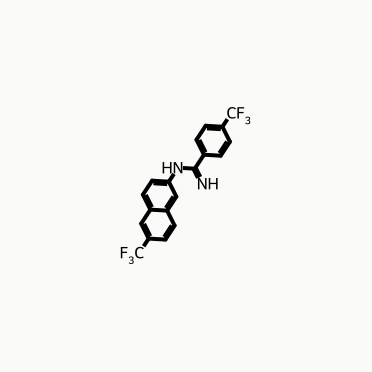 N=C(Nc1ccc2cc(C(F)(F)F)ccc2c1)c1ccc(C(F)(F)F)cc1